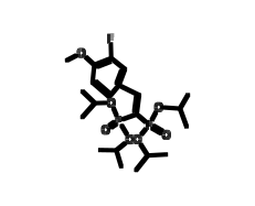 COc1ccc(C=C(P(=O)(OC(C)C)OC(C)C)P(=O)(OC(C)C)OC(C)C)cc1F